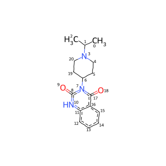 CC(C)N1CCC(n2c(=O)[nH]c3ccccc3c2=O)CC1